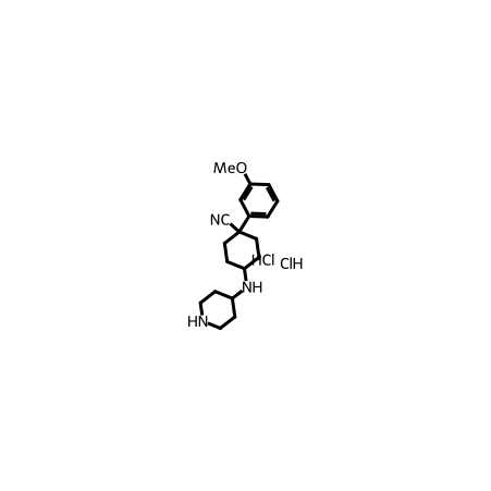 COc1cccc(C2(C#N)CCC(NC3CCNCC3)CC2)c1.Cl.Cl